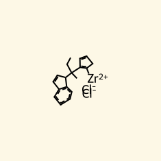 CCC(C)(C1=[C]([Zr+2])CC=C1)C1C=Cc2ccccc21.[Cl-].[Cl-]